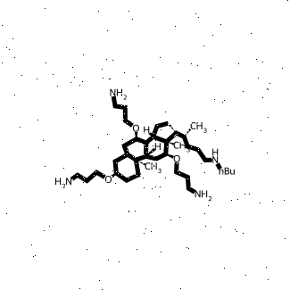 CCCCNCCC[C@@H](C)[C@H]1CC[C@H]2C3[C@H](OCCCN)CC4C[C@H](OCCCN)CC[C@]4(C)[C@H]3C[C@H](OCCCN)[C@]12C